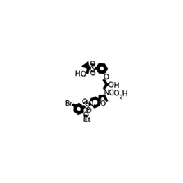 CCOc1ccc(Br)cc1S(=O)(=O)N1CCC2(CC1)CC(N(CC(O)COc1cccc(S(=O)(=O)C3(CO)CC3)c1)C(=O)O)CO2